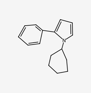 c1ccc(-c2cccn2C2CCCCC2)cc1